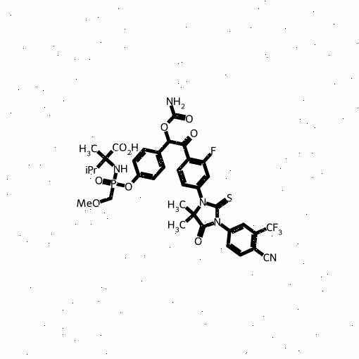 COCP(=O)(NC(C)(C(=O)O)C(C)C)Oc1ccc(C(OC(N)=O)C(=O)c2ccc(N3C(=S)N(c4ccc(C#N)c(C(F)(F)F)c4)C(=O)C3(C)C)cc2F)cc1